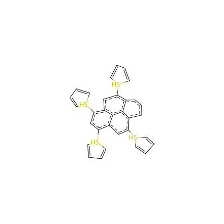 C1=C[SH](c2cc3c([SH]4C=CC=C4)cc([SH]4C=CC=C4)c4cc([SH]5C=CC=C5)c5cccc2c5c34)C=C1